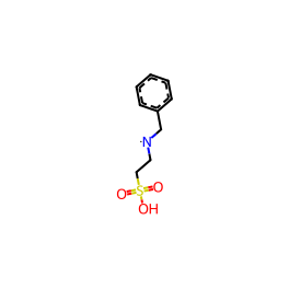 O=S(=O)(O)CC[N]Cc1ccccc1